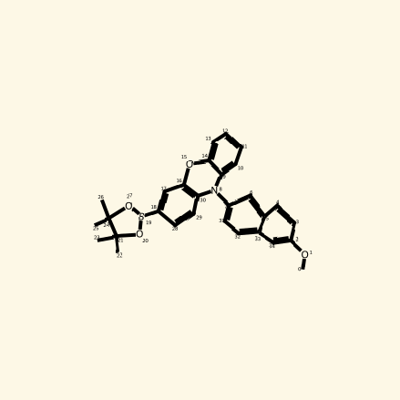 COc1ccc2cc(N3c4ccccc4Oc4cc(B5OC(C)(C)C(C)(C)O5)ccc43)ccc2c1